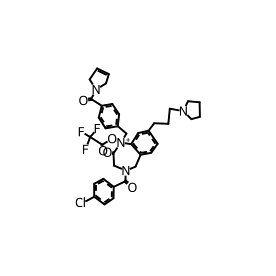 O=C(c1ccc(C[N+]2(OC(=O)C(F)(F)F)C(=O)CN(C(=O)c3ccc(Cl)cc3)Cc3ccc(CCCN4CCCC4)cc32)cc1)N1CC=CC1